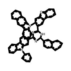 c1ccc(-n2c3ccccc3c3ccc(C4=NC(c5ccc6ccccc6c5)NC(c5cc6c(cc5-n5c7ccccc7c7cc8ccccc8cc75)oc5ccccc56)=N4)cc32)cc1